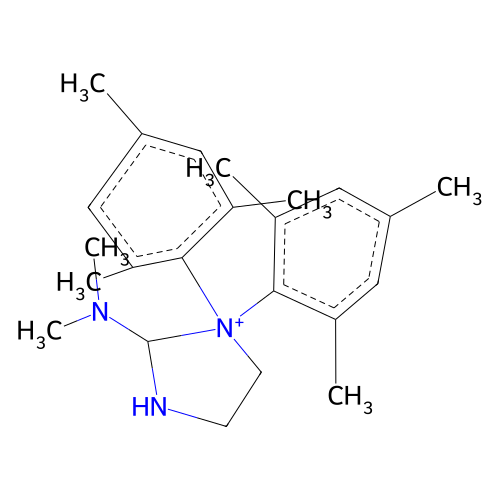 Cc1cc(C)c([N+]2(c3c(C)cc(C)cc3C)CCNC2N(C)C)c(C)c1